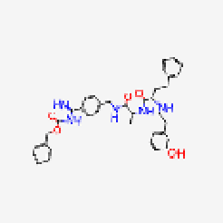 C[C@H](NC(=O)[C@@H](CCc1ccccc1)NCCc1cccc(O)c1)C(=O)NCc1ccc(C(=N)NC(=O)OCc2ccccc2)cc1